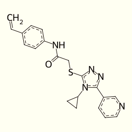 C=Cc1ccc(NC(=O)CSc2nnc(-c3cccnc3)n2C2CC2)cc1